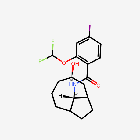 O=C(N[C@H]1C2CCC[C@@H](O)CC1CC2)c1ccc(I)cc1OC(F)F